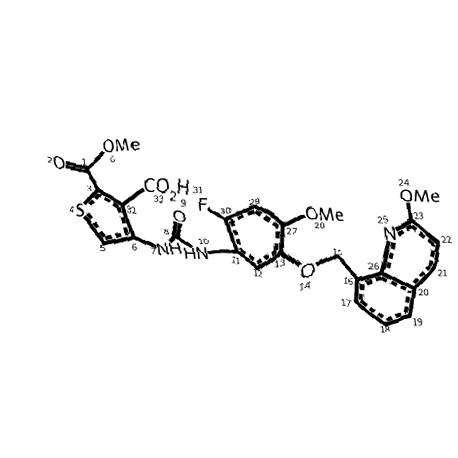 COC(=O)c1scc(NC(=O)Nc2cc(OCc3cccc4ccc(OC)nc34)c(OC)cc2F)c1C(=O)O